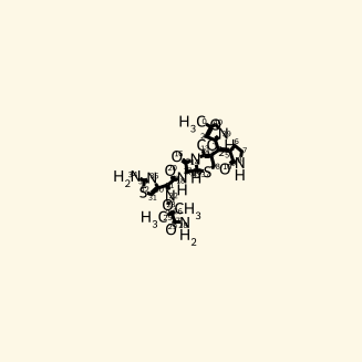 Cc1cc(C(=C2CCNC2=O)C2=C(C(=O)O)N3C(=O)[C@@H](NC(=O)C(=NOC(C)(C)C(N)=O)c4csc(N)n4)[C@H]3SC2)no1